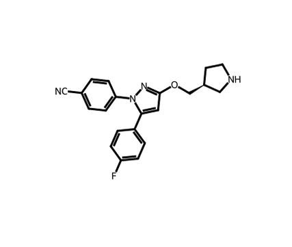 N#Cc1ccc(-n2nc(OC[C@H]3CCNC3)cc2-c2ccc(F)cc2)cc1